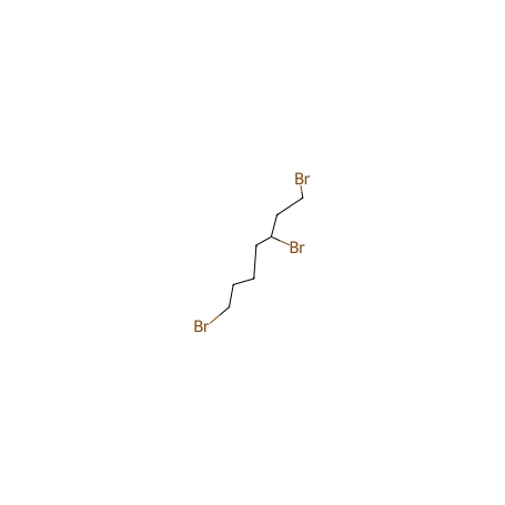 BrCCCCC(Br)CCBr